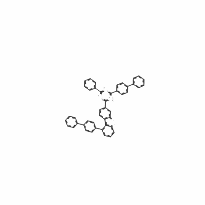 c1ccc(-c2ccc(-c3nc(-c4ccccc4)nc(-c4ccc5c(c4)sc4cccc(-c6ccc(-c7ccccc7)cc6)c45)n3)cc2)cc1